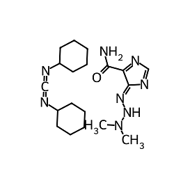 C(=NC1CCCCC1)=NC1CCCCC1.CN(C)N/N=C1\N=CN=C1C(N)=O